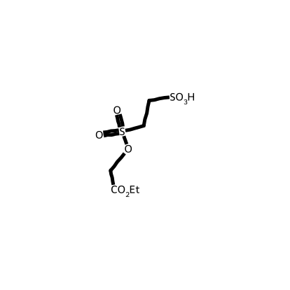 CCOC(=O)COS(=O)(=O)CCS(=O)(=O)O